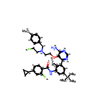 CCC[CH2][Sn]([CH2]CCC)([CH2]CCC)[c]1cc(NC(=O)c2ccc(C3CC3)cc2F)c(C)c(-c2ncnc(N)c2OCCN(CCF)Cc2ccc(OC)cc2)c1